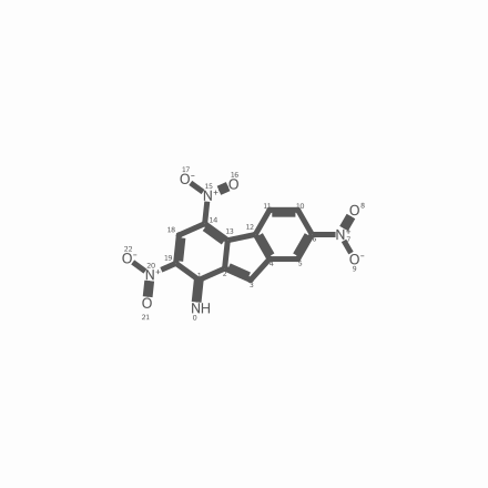 N=C1C2=Cc3cc([N+](=O)[O-])ccc3C2=C([N+](=O)[O-])C=C1[N+](=O)[O-]